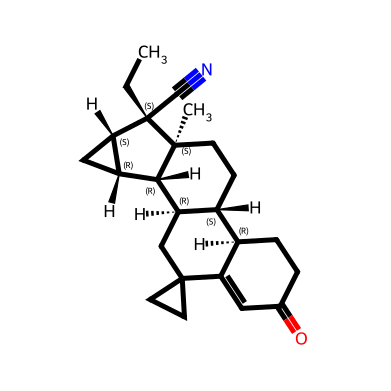 CC[C@]1(C#N)[C@H]2C[C@H]2[C@H]2[C@@H]3CC4(CC4)C4=CC(=O)CC[C@@H]4[C@H]3CC[C@@]21C